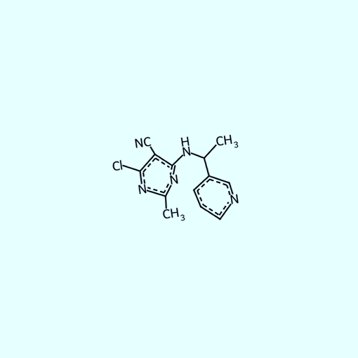 Cc1nc(Cl)c(C#N)c(NC(C)c2cccnc2)n1